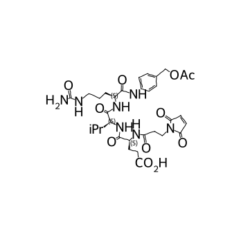 CC(=O)OCc1ccc(NC(=O)[C@H](CCCNC(N)=O)NC(=O)[C@@H](NC(=O)[C@H](CCC(=O)O)NC(=O)CCN2C(=O)C=CC2=O)C(C)C)cc1